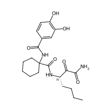 CCCC[C@H](NC(=O)C1(NC(=O)c2ccc(O)c(O)c2)CCCCC1)C(=O)C(N)=O